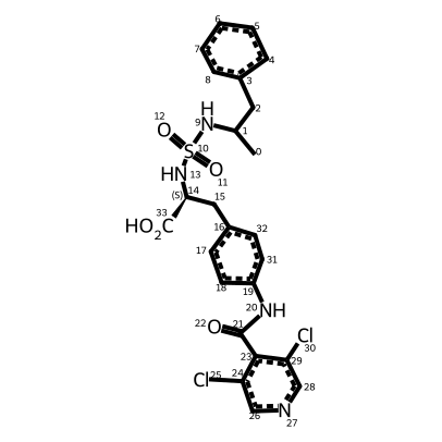 CC(Cc1ccccc1)NS(=O)(=O)N[C@@H](Cc1ccc(NC(=O)c2c(Cl)cncc2Cl)cc1)C(=O)O